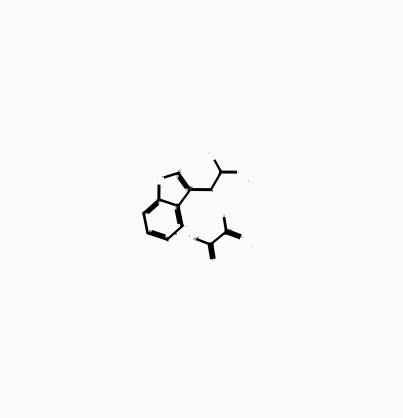 C=C(C)C(N)=O.NC(Cc1c[nH]c2ccccc12)C(=O)O